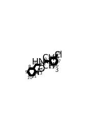 CC(C)(NC(=O)Cc1ccccc1F)c1cccc(Cl)c1